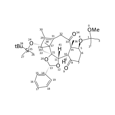 COC(C)(C)O[C@H]1CCC(=O)[C@H]2[C@@H]3O[C@H](c4ccccc4)O[C@]34C[C@H](O[Si](C)(C)C(C)(C)C)C(C)=C(CC(=O)[C@]12C)C4(C)C